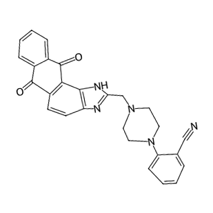 N#Cc1ccccc1N1CCN(Cc2nc3ccc4c(c3[nH]2)C(=O)c2ccccc2C4=O)CC1